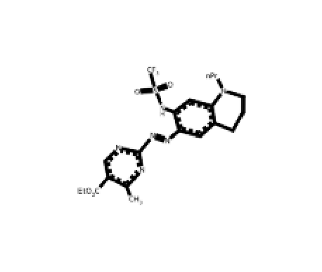 CCCN1CCCc2cc(N=Nc3ncc(C(=O)OCC)c(C)n3)c(NS(=O)(=O)C(F)(F)F)cc21